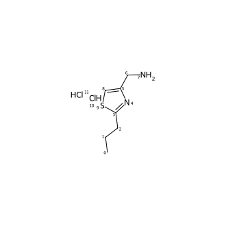 CCCc1nc(CN)cs1.Cl.Cl